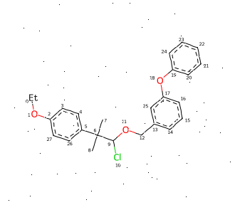 CCOc1ccc(C(C)(C)C(Cl)OCc2cccc(Oc3ccccc3)c2)cc1